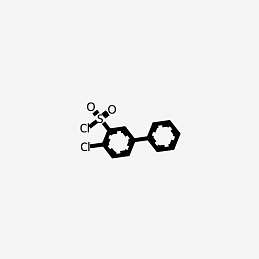 O=S(=O)(Cl)c1cc(-c2ccccc2)ccc1Cl